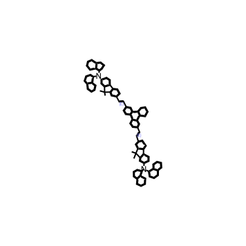 CC1(C)c2cc(/C=C/c3ccc4c5ccc(/C=C/c6ccc7c(c6)C(C)(C)c6cc(N(c8cccc9ccccc89)c8cccc9ccccc89)ccc6-7)cc5c5ccccc5c4c3)ccc2-c2ccc(N(c3cccc4ccccc34)c3cccc4ccccc34)cc21